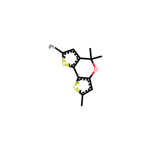 Cc1cc2c(s1)-c1sc(C(C)C)cc1C(C)(C)O2